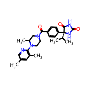 Cc1cnc(N2CCN(C(=O)c3ccc([C@@]4(C(C)C)NC(=O)NC4=O)cc3)C[C@@H]2C)c(C)c1